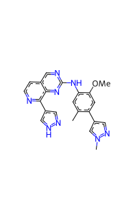 COc1cc(-c2cnn(C)c2)c(C)cc1Nc1ncc2ccnc(-c3cn[nH]c3)c2n1